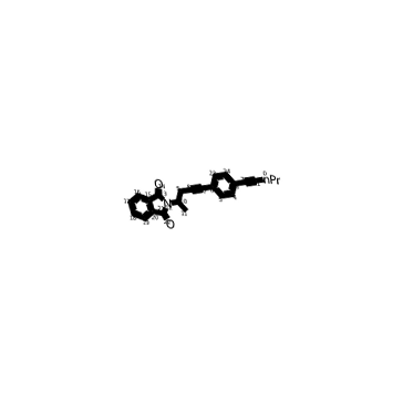 CCCC#Cc1ccc(C#CCC(C)N2C(=O)c3ccccc3C2=O)cc1